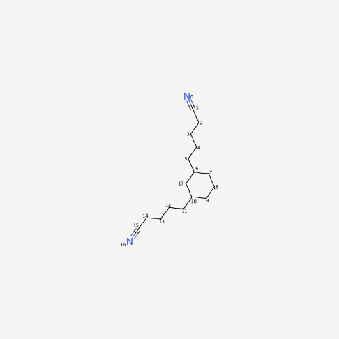 N#CCCCCC1C[CH]CC(CCCCC#N)C1